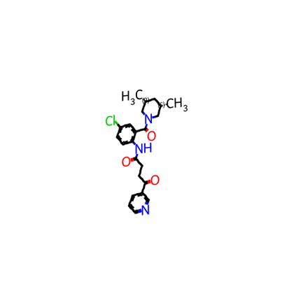 C[C@@H]1C[C@H](C)CN(C(=O)c2cc(Cl)ccc2NC(=O)CCC(=O)c2cccnc2)C1